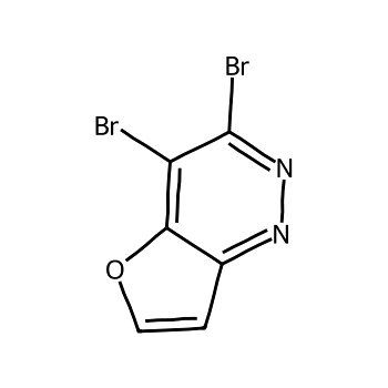 Brc1nnc2ccoc2c1Br